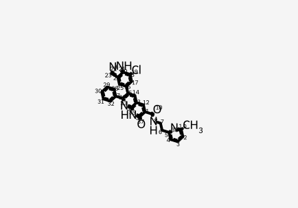 Cc1cccc(CCNC(=O)c2cc3cc(-c4cc(Cl)c5[nH]ncc5c4)c(-c4ccccc4)nc3[nH]c2=O)n1